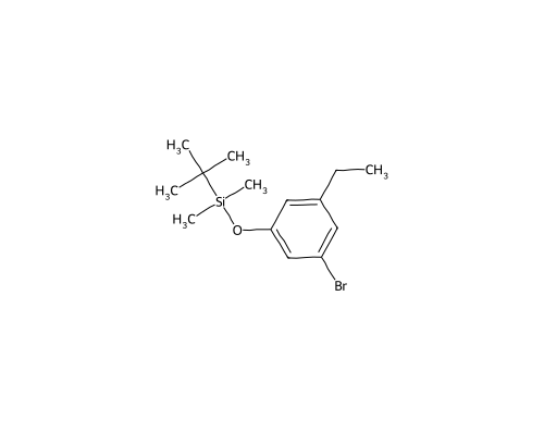 CCc1cc(Br)cc(O[Si](C)(C)C(C)(C)C)c1